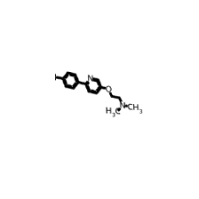 CN(C)CCOc1ccc(-c2ccc(I)cc2)nc1